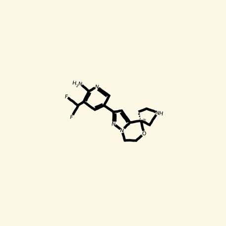 Nc1ncc(-c2cc3n(n2)CCO[C@@]32CCNC2)cc1C(F)F